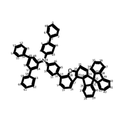 c1ccc(-c2ccc(N(c3ccc(-c4cccc5c4oc4ccc6c(c45)-c4ccccc4C64c5ccccc5-c5ccccc54)cc3)c3cc(-c4ccccc4)cc(-c4ccccc4)c3)cc2)cc1